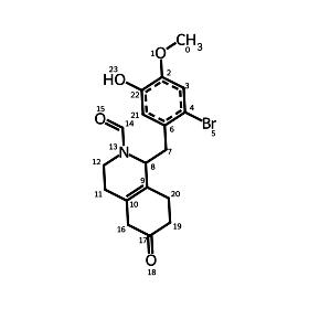 COc1cc(Br)c(CC2C3=C(CCN2C=O)CC(=O)CC3)cc1O